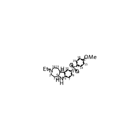 CCN1CC[C@@H]2Nc3ccc(S(=O)(=O)c4ccc(OC)cc4)cc3[C@@H]2CC1